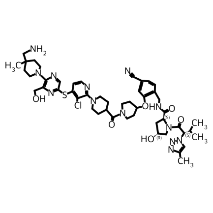 Cc1cn([C@H](C(=O)N2C[C@H](O)C[C@H]2C(=O)NCc2ccc(C#N)cc2OC2CCN(C(=O)C3CCN(c4nccc(Sc5cnc(N6CCC(C)(CN)CC6)c(CO)n5)c4Cl)CC3)CC2)C(C)C)nn1